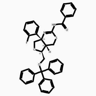 O=C(NC1=N[C@@]2(c3ccccc3F)CO[C@H](COC(c3ccccc3)(c3ccccc3)c3ccccc3)[C@H]2CS1)c1ccccc1